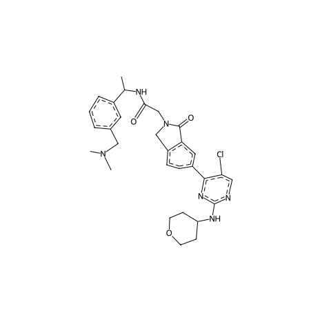 CC(NC(=O)CN1Cc2ccc(-c3nc(NC4CCOCC4)ncc3Cl)cc2C1=O)c1cccc(CN(C)C)c1